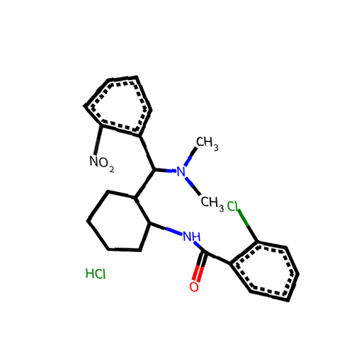 CN(C)C(c1ccccc1[N+](=O)[O-])C1CCCCC1NC(=O)c1ccccc1Cl.Cl